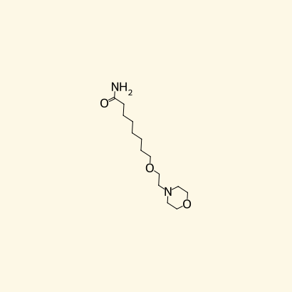 NC(=O)CCCCCCCOCCN1CCOCC1